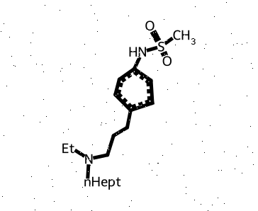 CCCCCCCN(CC)CCCc1ccc(NS(C)(=O)=O)cc1